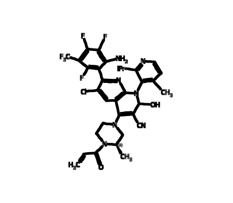 C=CC(=O)N1CCN(C2=C(C#N)C(O)N(c3c(C)ccnc3C(C)C)c3nc(-c4c(N)c(F)c(F)c(C(F)(F)F)c4F)c(Cl)cc32)C[C@H]1C